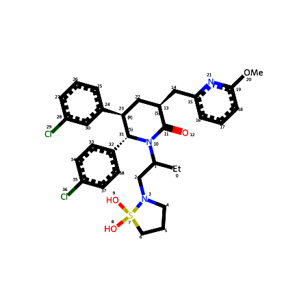 CCC(CN1CCCS1(O)O)N1C(=O)[C@H](Cc2cccc(OC)n2)C[C@H](c2cccc(Cl)c2)[C@H]1c1ccc(Cl)cc1